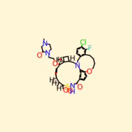 C[C@@H]1[C@@H](C)S(=O)(=O)NC(=O)c2ccc3c(c2)N(Cc2ccc(Cl)c(F)c2CCCCO3)C[C@@H]2CC[C@H]2[C@@H](OCCN2CCN(C)CC2=O)C2=C[C@H]1C2